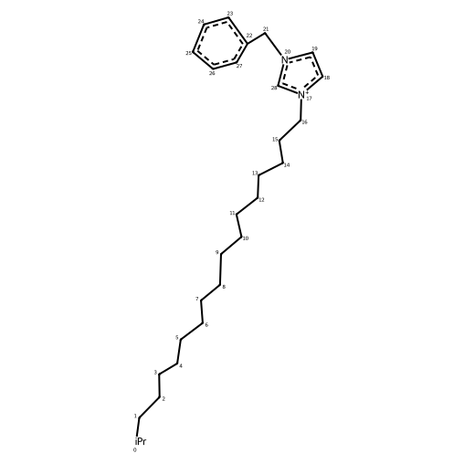 CC(C)CCCCCCCCCCCCCCCC[n+]1ccn(Cc2ccccc2)c1